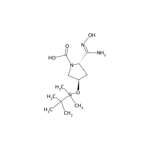 CC(C)(C)[Si](C)(C)O[C@@H]1C[C@@H](/C(N)=N/O)N(C(=O)O)C1